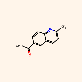 COC(=O)c1ccc2nc(C(F)(F)F)ccc2c1